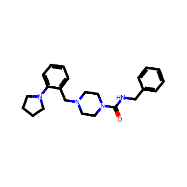 O=C(NCc1ccccc1)N1CCN(Cc2ccccc2N2CCCC2)CC1